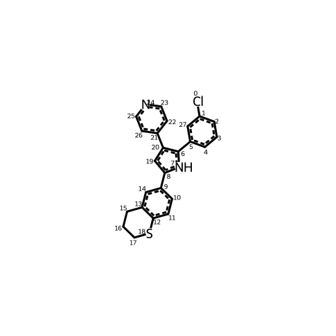 Clc1cccc(-c2[nH]c(-c3ccc4c(c3)CCCS4)cc2-c2ccncc2)c1